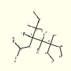 CCC(C)(C)C(F)(CC(F)F)C(F)(F)C(C)(CC)CC